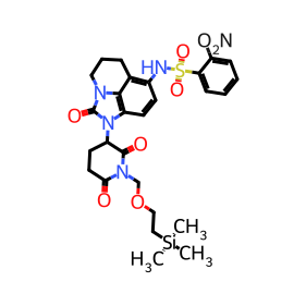 C[Si](C)(C)CCOCN1C(=O)CCC(n2c(=O)n3c4c(c(NS(=O)(=O)c5ccccc5[N+](=O)[O-])ccc42)CCC3)C1=O